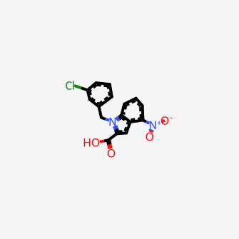 O=C(O)c1cc2c([N+](=O)[O-])cccc2n1Cc1cccc(Cl)c1